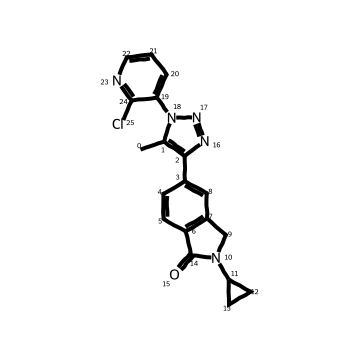 Cc1c(-c2ccc3c(c2)CN(C2CC2)C3=O)nnn1-c1cccnc1Cl